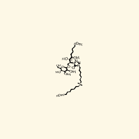 CCCCCCCCCCCCCCCCC[Si](C)(C)CCCCCCCn1nnn([C@@H](COC2OC(CO)C(O)C(O)C2O)[C@H](O)[C@H](O)CCCCCCCCCCCCCC)c1=O